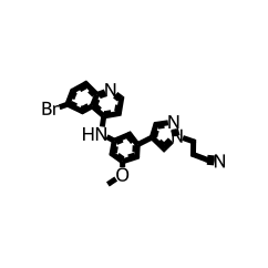 COc1cc(Nc2ccnc3ccc(Br)cc23)cc(-c2cnn(CCC#N)c2)c1